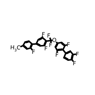 Cc1ccc(-c2cc(F)c(C(F)(F)Oc3cc(F)c(-c4ccc(F)c(F)c4)c(F)c3)c(F)c2)c(F)c1